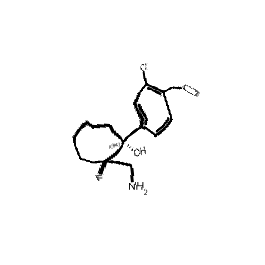 NCC1(F)CCCC[C@@]1(O)c1ccc(Cl)c(Cl)c1